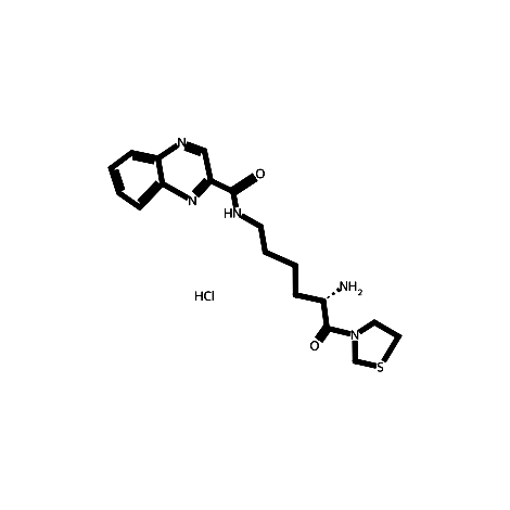 Cl.N[C@@H](CCCCNC(=O)c1cnc2ccccc2n1)C(=O)N1CCSC1